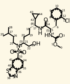 COC(=O)N[C@@H](Cc1ccccc1Cl)C(=O)N[C@H](CCC[C@@H](CO)N(CCC(C)C)S(=O)(=O)c1ccc2ncsc2c1)C1CC1